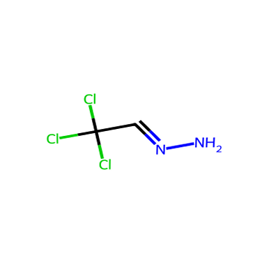 NN=CC(Cl)(Cl)Cl